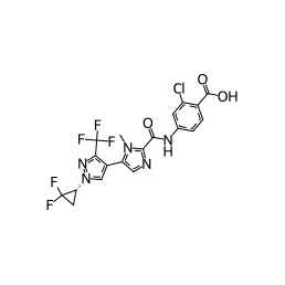 Cn1c(-c2cn([C@@H]3CC3(F)F)nc2C(F)(F)F)cnc1C(=O)Nc1ccc(C(=O)O)c(Cl)c1